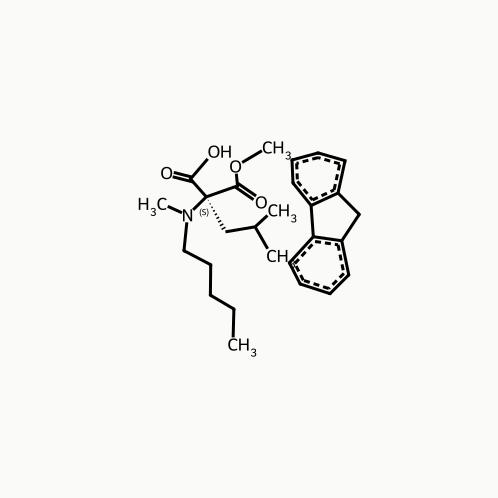 CCCCCN(C)[C@@](CC(C)C)(C(=O)O)C(=O)OC.c1ccc2c(c1)Cc1ccccc1-2